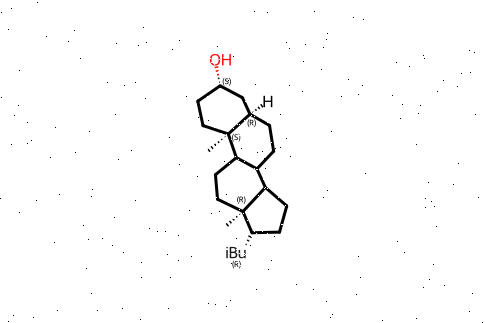 CC[C@@H](C)C1CCC2C3CC[C@@H]4C[C@@H](O)CC[C@]4(C)C3CC[C@@]21C